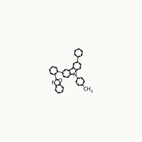 Cc1ccc(-n2c3ccc(-c4ccccc4)cc3c3cc(-c4ccccc4-c4nc5ccccc5o4)ccc32)cc1